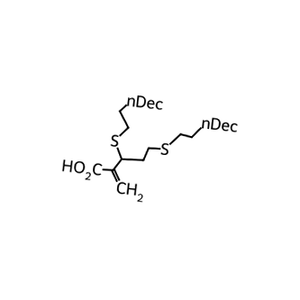 C=C(C(=O)O)C(CCSCCCCCCCCCCCC)SCCCCCCCCCCCC